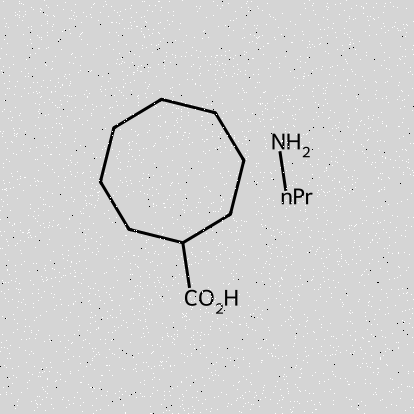 CCCN.O=C(O)C1CCCCCCC1